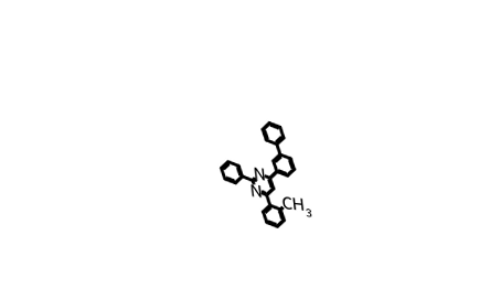 Cc1ccccc1-c1cc(-c2cccc(-c3ccccc3)c2)nc(-c2ccccc2)n1